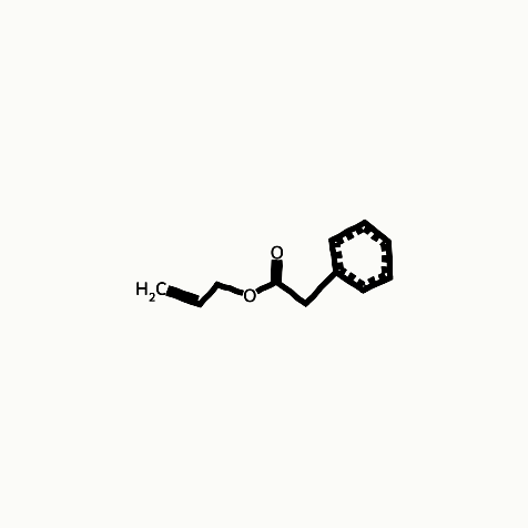 C=CCOC(=O)Cc1ccccc1